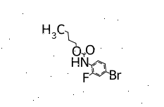 CCCCOC(=O)Nc1ccc(Br)cc1F